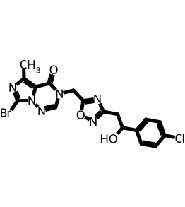 Cc1nc(Br)n2ncn(Cc3nc(CC(O)c4ccc(Cl)cc4)no3)c(=O)c12